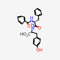 O=C(N[C@@H](Cc1ccccc1)C(=O)N[C@H](Cc1ccc(O)cc1)C(=O)O)c1ccccc1